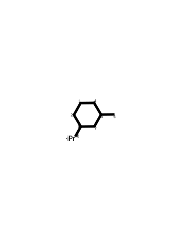 C[C](C)C1CCCC(C)C1